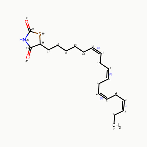 CC/C=C\C/C=C\C/C=C\C/C=C\CCCCCC1SC(=O)NC1=O